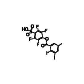 Cc1cc(I)c(I)c(C(=O)Oc2c(F)c(F)c(S(=O)(=O)O)c(F)c2F)c1